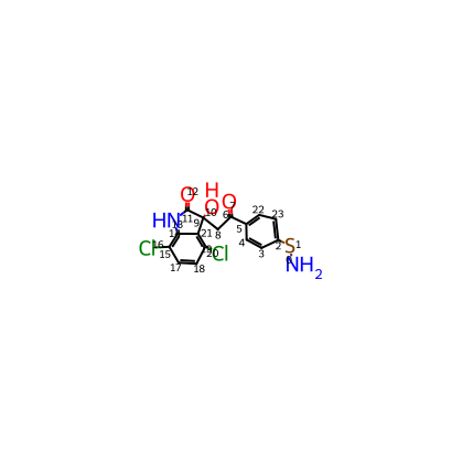 NSc1ccc(C(=O)CC2(O)C(=O)Nc3c(Cl)ccc(Cl)c32)cc1